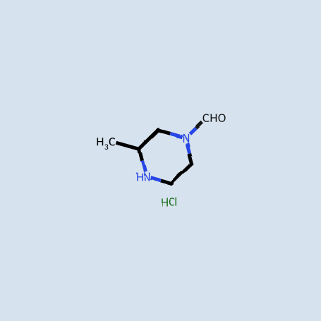 CC1CN(C=O)CCN1.Cl